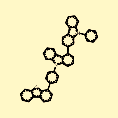 c1ccc(-n2c3ccccc3c3ccc(-c4cccc5c4c4ccccc4n5-c4ccc(-c5cccc6c5sc5ccccc56)cc4)cc32)cc1